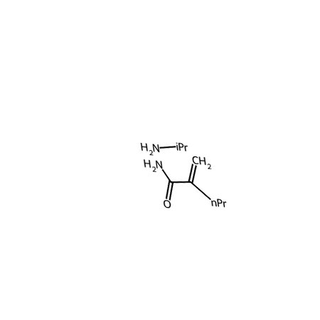 C=C(CCC)C(N)=O.CC(C)N